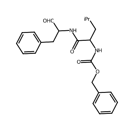 CC(C)CC(NC(=O)OCc1ccccc1)C(=O)NC(C=O)Cc1ccccc1